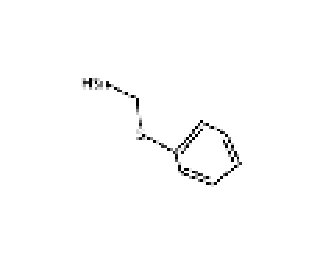 [SnH][CH2]Sc1ccccc1